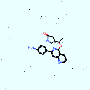 C[C@@H](Oc1nc(-c2ccc(N)cc2)cc2ncccc12)[C@H]1CNC(=O)C1